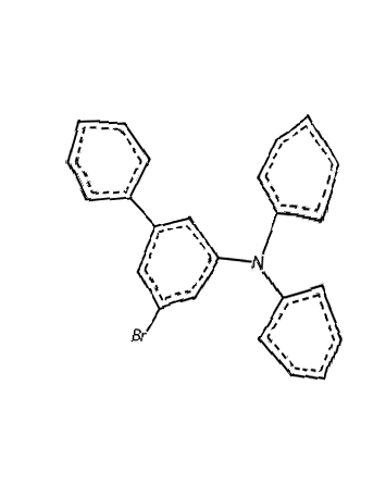 Brc1cc(-c2ccccc2)cc(N(c2ccccc2)c2ccccc2)c1